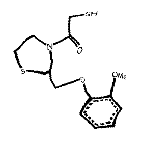 COc1ccccc1OCC1SCCN1C(=O)CS